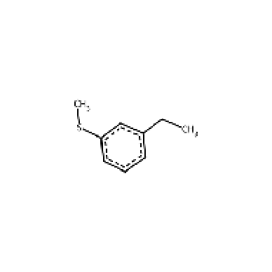 CCc1cccc(SC)c1